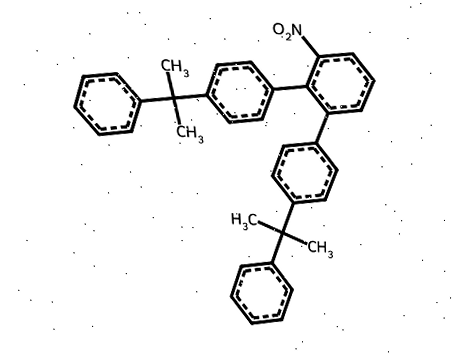 CC(C)(c1ccccc1)c1ccc(-c2cccc([N+](=O)[O-])c2-c2ccc(C(C)(C)c3ccccc3)cc2)cc1